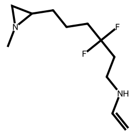 C=CNCCC(F)(F)CCCC1CN1C